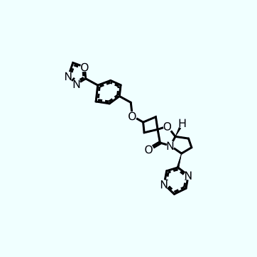 O=C1N2[C@@H](CC[C@H]2c2cnccn2)OC12CC(OCc1ccc(-c3nnco3)cc1)C2